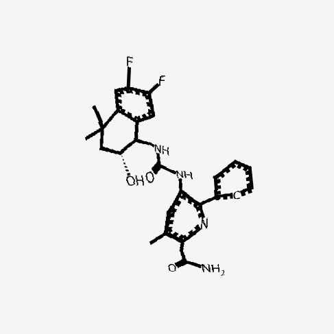 Cc1cc(NC(=O)NC2c3cc(F)c(F)cc3C(C)(C)C[C@H]2O)c(-c2ccccc2)nc1C(N)=O